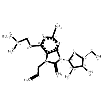 C=CCN1C(=C)N([C@@H]2O[C@H](CO)[C@@H](O)[C@H]2O)c2nc(N)nc(OCN(C)C(=O)OCC)c21